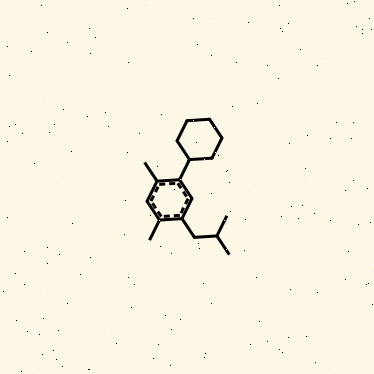 Cc1cc(C)c(C2CCCCC2)cc1CC(C)C